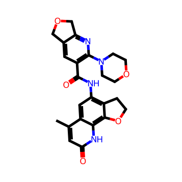 Cc1cc(=O)[nH]c2c3c(c(NC(=O)c4cc5c(nc4N4CCOCC4)COC5)cc12)CCO3